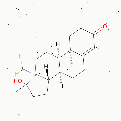 CC1(O)CC[C@H]2[C@@H]3CCC4=CC(=O)CC[C@]4(C)[C@@H]3CC[C@@]21C(F)F